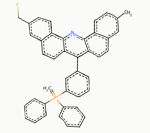 C=P(c1ccccc1)(c1ccccc1)c1cccc(-c2c3ccc4cc(C)ccc4c3nc3c2ccc2cc(CF)ccc23)c1